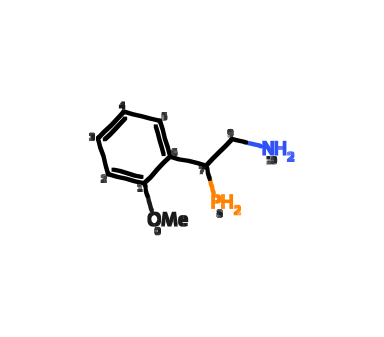 COc1ccccc1C(P)CN